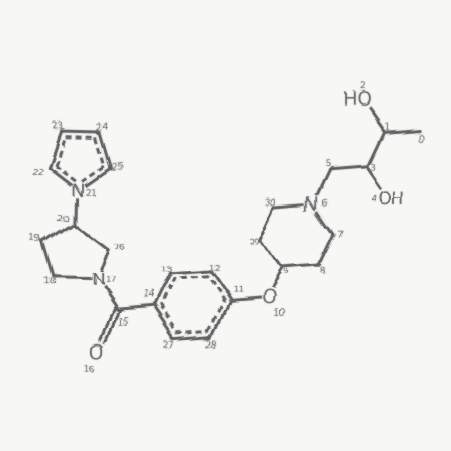 CC(O)C(O)CN1CCC(Oc2ccc(C(=O)N3CCC(n4cccc4)C3)cc2)CC1